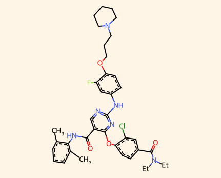 CCN(CC)C(=O)c1ccc(Oc2nc(Nc3ccc(OCCCN4CCCCC4)c(F)c3)ncc2C(=O)Nc2c(C)cccc2C)c(Cl)c1